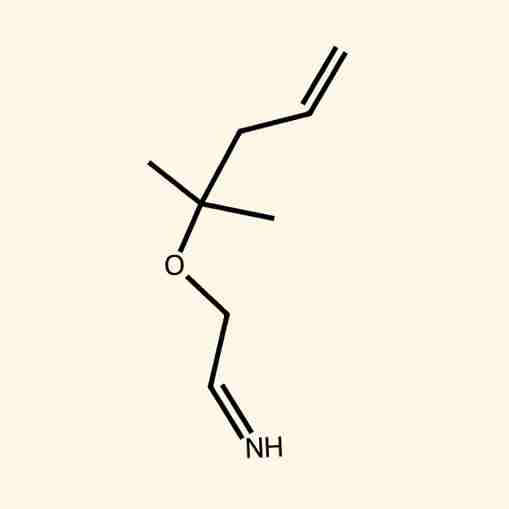 C=CCC(C)(C)OCC=N